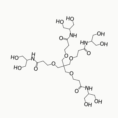 O=C(CCOCC(COCCC(=O)NC(CO)CO)(COCCC(=O)NC(CO)CO)COCCC(=O)NC(CO)CO)NC(CO)CO